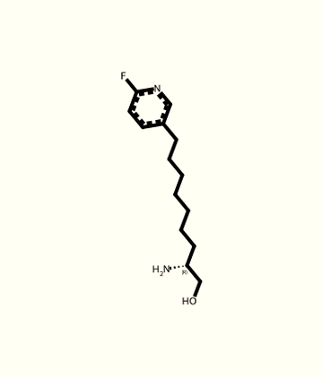 N[C@@H](CO)CCCCCCCc1ccc(F)nc1